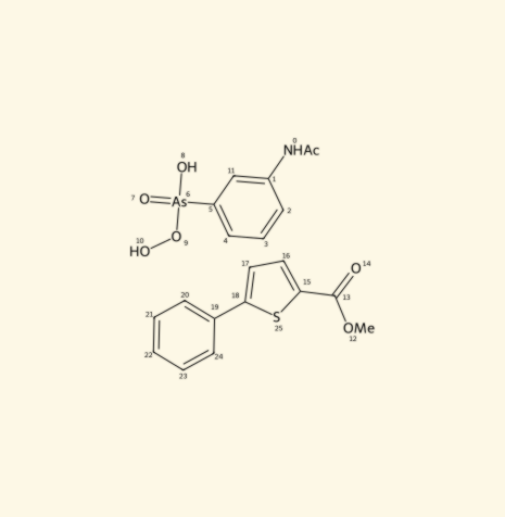 CC(=O)Nc1cccc([As](=O)(O)OO)c1.COC(=O)c1ccc(-c2ccccc2)s1